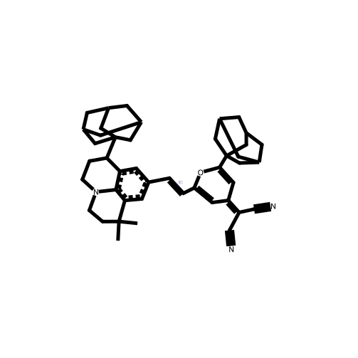 CC1(C)CCN2CCC(C34CC5CC(CC(C5)C3)C4)c3cc(/C=C/C4=CC(=C(C#N)C#N)C=C(C56CC7CC(CC(C7)C5)C6)O4)cc1c32